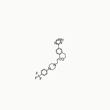 FC(F)(F)c1ccc(N2CCN(CC[C@@H]3OCCc4cc(-c5nc[nH]n5)ccc43)CC2)cc1